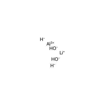 [Al+3].[H-].[H-].[Li+].[OH-].[OH-]